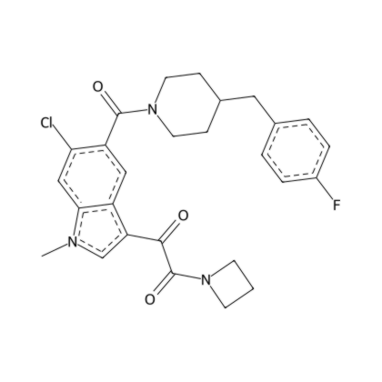 Cn1cc(C(=O)C(=O)N2CCC2)c2cc(C(=O)N3CCC(Cc4ccc(F)cc4)CC3)c(Cl)cc21